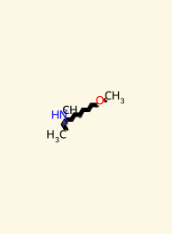 CC/C=C(\CCCCCCCOCC)NC